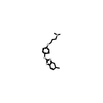 CC1C=Cc2sc(Oc3ccc(OCCCN(C)C)cc3)nc2C1